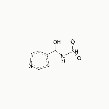 O=[SH](=O)NC(O)c1ccncc1